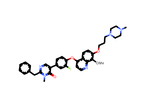 COc1c(OCCCN2CCN(C)CC2)ccc2c(Oc3ccc(-c4cnc(Cc5ccccc5)n(C)c4=O)cc3F)ccnc12